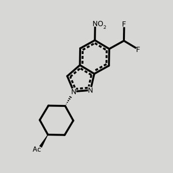 CC(=O)[C@H]1CC[C@H](n2cc3cc([N+](=O)[O-])c(C(F)F)cc3n2)CC1